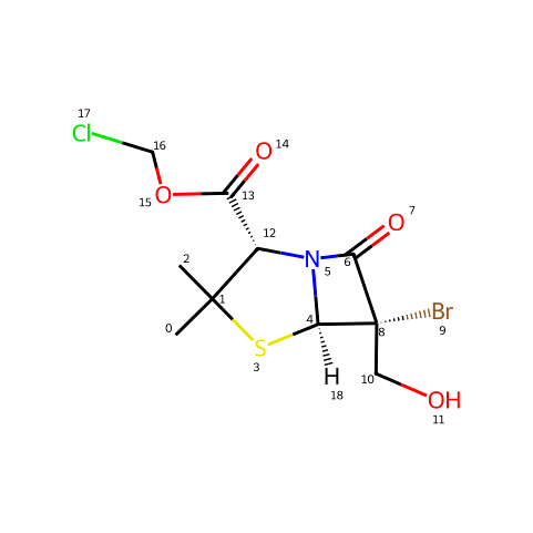 CC1(C)S[C@H]2N(C(=O)[C@@]2(Br)CO)[C@H]1C(=O)OCCl